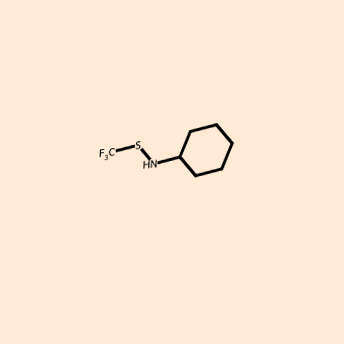 FC(F)(F)SNC1CCCCC1